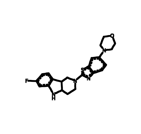 Fc1ccc2c(c1)NC1CCN(c3nc4ccc(N5CCOCC5)cc4s3)CC21